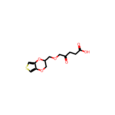 O=C(O)CCC(=O)COCC1COc2cscc2O1